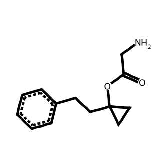 NCC(=O)OC1(CCc2ccccc2)CC1